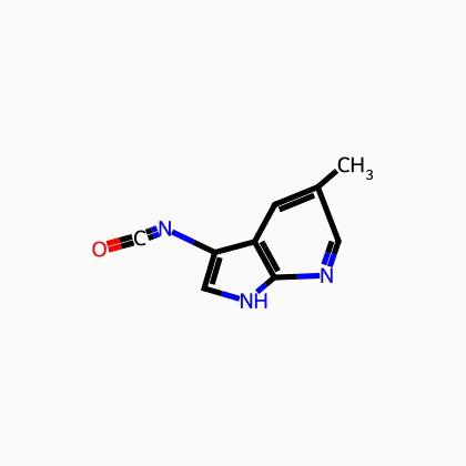 Cc1cnc2[nH]cc(N=C=O)c2c1